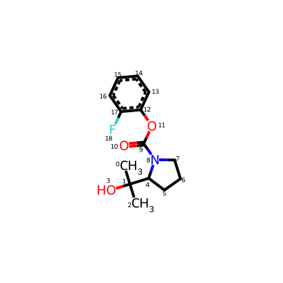 CC(C)(O)C1CCCN1C(=O)Oc1ccccc1F